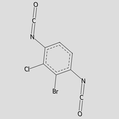 O=C=Nc1ccc(N=C=O)c(Br)c1Cl